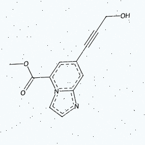 COC(=O)c1cc(C#CCO)cc2nccn12